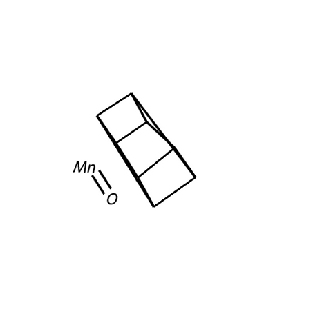 C12C3C4C1C1C2C3C41.[O]=[Mn]